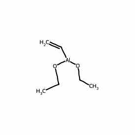 C=[CH][Al]([O]CC)[O]CC